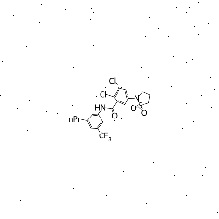 CCCc1cc(NC(=O)c2cc(N3CCCS3(=O)=O)cc(Cl)c2Cl)cc(C(F)(F)F)c1